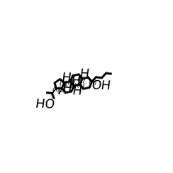 CCCC[C@@]1(O)CC[C@H]2[C@H](CC[C@@H]3[C@@H]2CC[C@]2(C)[C@@H](C(C)CO)CC[C@@H]32)C1